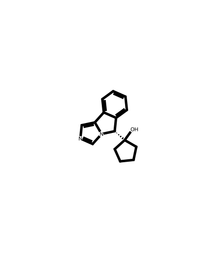 OC1([C@H]2c3ccccc3-c3cncn32)CCCC1